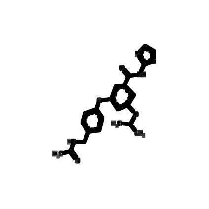 CC(=O)NCc1ccc(Oc2cc(OC(C)C)cc(C(=O)Nc3nccs3)c2)cc1